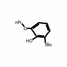 [CH2]CCOc1cccc(C(C)(C)C)c1O